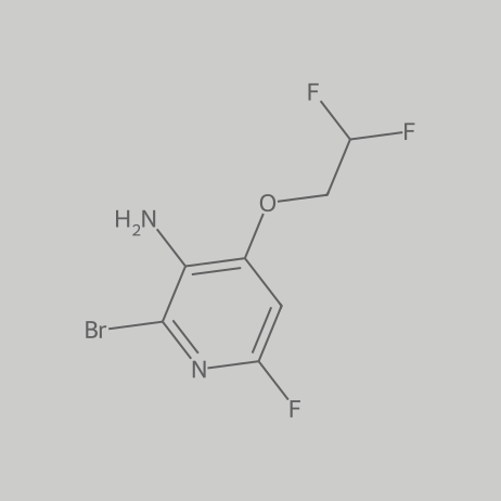 Nc1c(OCC(F)F)cc(F)nc1Br